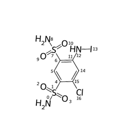 NS(=O)(=O)c1cc(S(N)(=O)=O)c(NI)cc1Cl